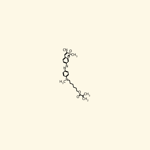 C=C(C)C(=O)OCCCCCCN(C)c1ccc(N=Nc2ccc(C=C(C#N)S(C)(=O)=O)cc2)cc1